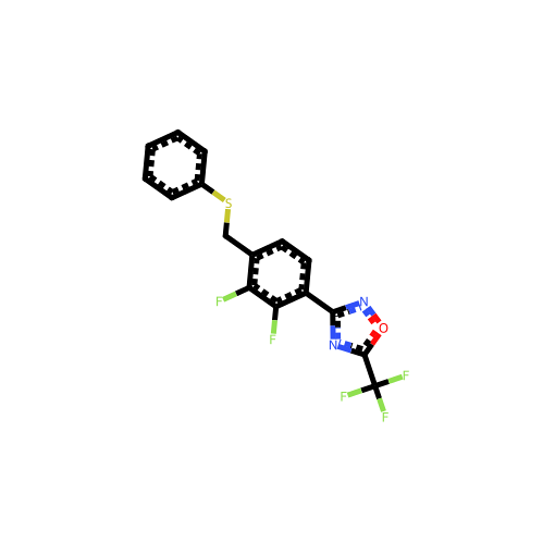 Fc1c(CSc2ccccc2)ccc(-c2noc(C(F)(F)F)n2)c1F